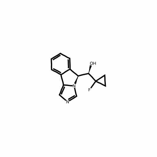 O[C@H]([C@@H]1c2ccccc2-c2cncn21)C1(F)CC1